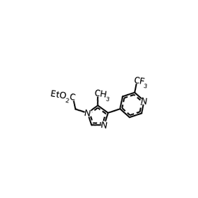 CCOC(=O)Cn1cnc(-c2ccnc(C(F)(F)F)c2)c1C